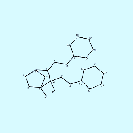 CC12CCC(C1)C(CCC1CCCCC1)C2(C)CCC1CCCCC1